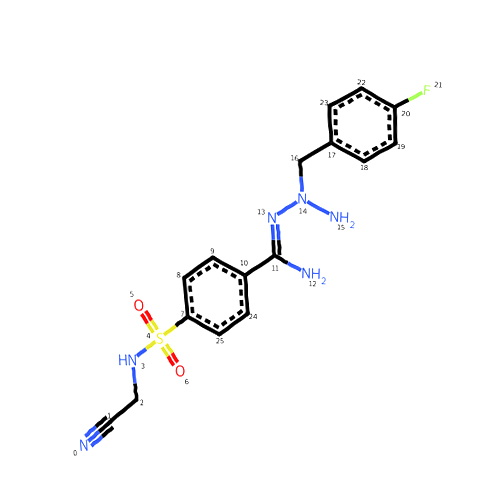 N#CCNS(=O)(=O)c1ccc(/C(N)=N/N(N)Cc2ccc(F)cc2)cc1